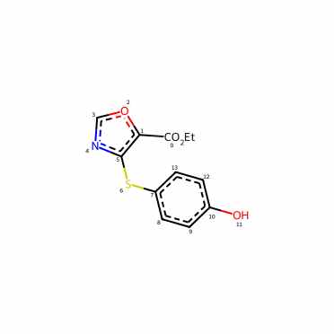 CCOC(=O)c1ocnc1Sc1ccc(O)cc1